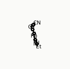 CCc1cnc(N2CCC(COc3ccc(C4=CCC(C(=O)N5CCC(C#N)CC5)CC4)cc3F)CC2)nc1